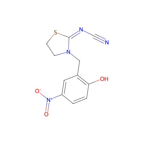 N#C/N=C1/SCCN1Cc1cc([N+](=O)[O-])ccc1O